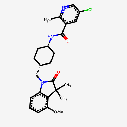 COc1cccc2c1C(C)(C)C(=O)N2C[C@H]1CC[C@H](NC(=O)c2cc(Cl)cnc2C)CC1